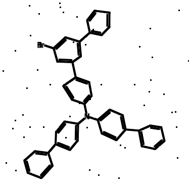 Brc1cc(-c2ccccc2)cc(-c2ccc(N(c3ccc(-c4ccccc4)cc3)c3ccc(-c4ccccc4)cc3)cc2)c1